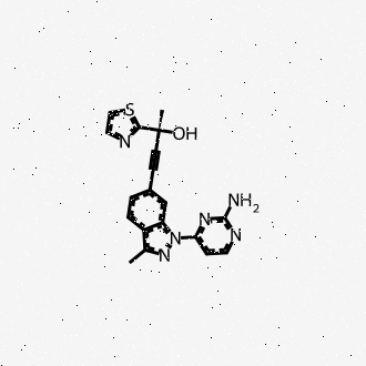 Cc1nn(-c2ccnc(N)n2)c2cc(C#C[C@@](C)(O)c3nccs3)ccc12